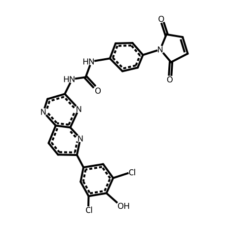 O=C(Nc1ccc(N2C(=O)C=CC2=O)cc1)Nc1cnc2ccc(-c3cc(Cl)c(O)c(Cl)c3)nc2n1